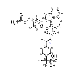 C/C(=C\C(=O)N[C@H]1CCc2cccc3c2N(C1=O)[C@H](C(=O)N[C@@H](CCC(N)=O)C(C)C)C3)c1ccc(C(F)(F)P(=O)(O)O)cc1